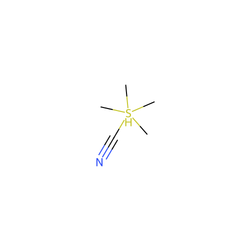 C[SH](C)(C)(C)C#N